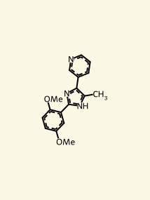 COc1ccc(OC)c(-c2nc(-c3cccnc3)c(C)[nH]2)c1